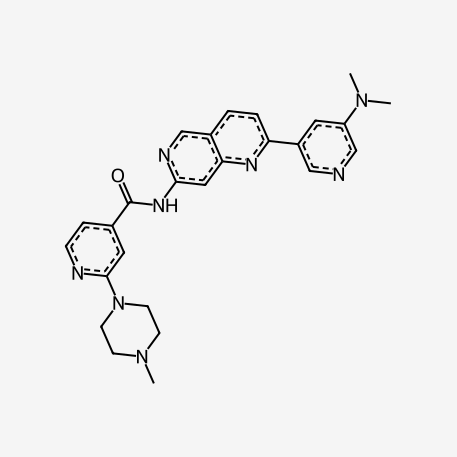 CN1CCN(c2cc(C(=O)Nc3cc4nc(-c5cncc(N(C)C)c5)ccc4cn3)ccn2)CC1